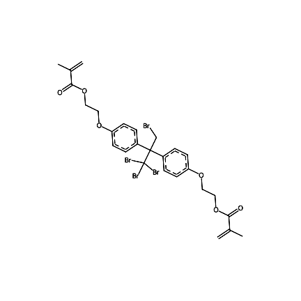 C=C(C)C(=O)OCCOc1ccc(C(CBr)(c2ccc(OCCOC(=O)C(=C)C)cc2)C(Br)(Br)Br)cc1